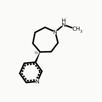 CNN1CCC[C@H](c2cccnc2)CC1